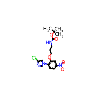 CC(C)(C)OC(=O)NCCCOc1cc([N+](=O)[O-])ccc1-n1cnc(Cl)c1